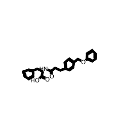 O=C(CCc1ccc(COc2ccccc2)cc1)NC(Cc1ccccc1)C(=O)O